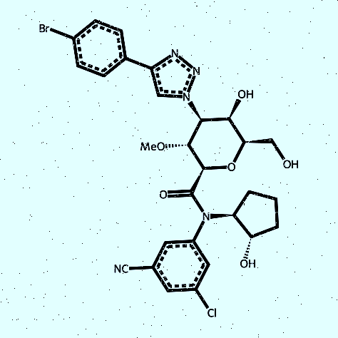 CO[C@@H]1[C@@H](n2cc(-c3ccc(Br)cc3)nn2)[C@@H](O)[C@@H](CO)O[C@H]1C(=O)N(c1cc(Cl)cc(C#N)c1)[C@H]1CCC[C@@H]1O